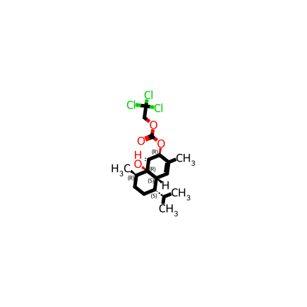 CC1=C[C@@H]2[C@H](C(C)C)CC[C@@H](C)[C@]2(O)[C][C@H]1OC(=O)OCC(Cl)(Cl)Cl